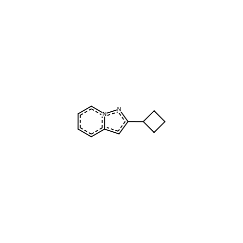 c1ccn2nc(C3CCC3)cc2c1